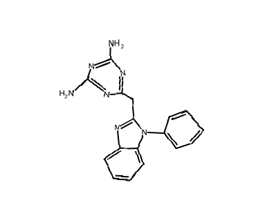 Nc1nc(N)nc(Cc2nc3ccccc3n2-c2ccccc2)n1